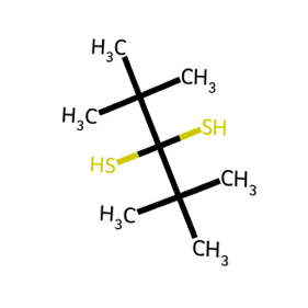 CC(C)(C)C(S)(S)C(C)(C)C